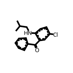 CC(C)CNc1ccc(Cl)cc1C(=O)c1ccccc1